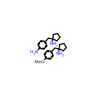 COc1ccc(CC2(N)CCCC2)cc1.Nc1ccc(CC2(N)CCCC2)cc1